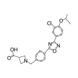 CC(C)Oc1ccc(-c2noc(-c3ccc(CN4CC(C(=O)O)C4)cc3)n2)cc1Cl